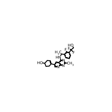 Cc1nc(N[C@H](C)c2cccc(C(F)(F)CO)c2F)c2cc(C3=CCC(O)CC3)cnc2n1